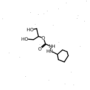 O=C(NNC1CCCCC1)OC(CO)CO